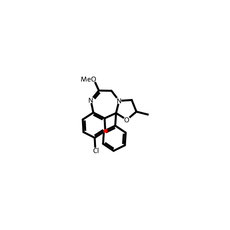 COC1=Nc2ccc(Cl)cc2C2(c3ccccc3)OC(C)CN2C1